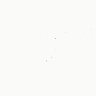 CC(C)=CCCC(C)=CCOc1ccc(-c2noc(C3CCCN3C(=NC(=O)O)NC(=O)OC(C)(C)C)n2)cc1C(F)(F)F